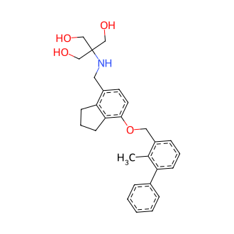 Cc1c(COc2ccc(CNC(CO)(CO)CO)c3c2CCC3)cccc1-c1ccccc1